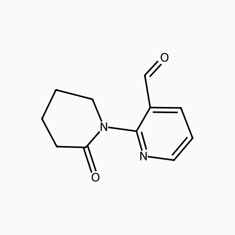 O=Cc1cccnc1N1CCCCC1=O